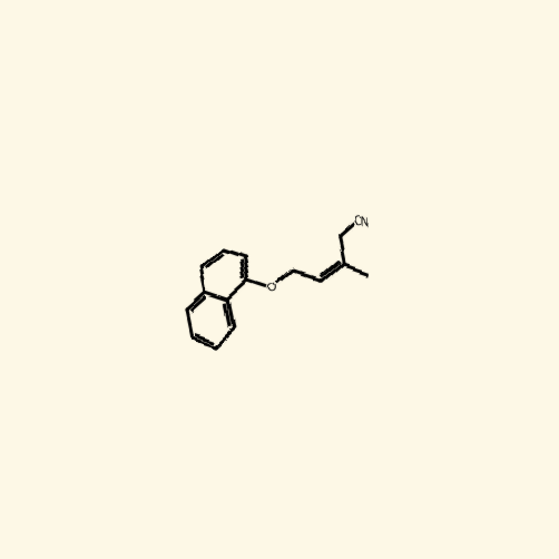 CC(=CCOc1cccc2ccccc12)CC#N